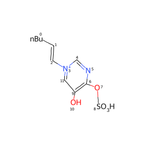 CCCCC=C[n+]1cnc(OS(=O)(=O)O)c(O)c1